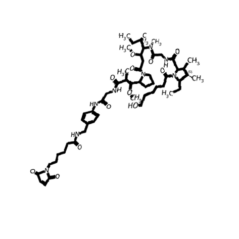 CCC(C)C(C(CC(=O)N1CCCC1C(OC)C(C)C(=O)NCC(=O)Nc1ccc(CNC(=O)CCCCCN2C(=O)C=CC2=O)cc1)OC)N(C)C(=O)CNC(=O)C1C(C)[C@H](C)C(CC)N1C(=O)CCCCCO